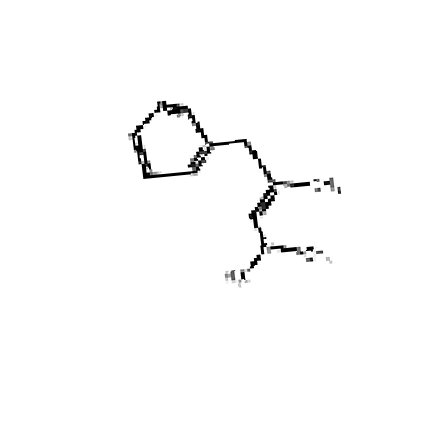 CC(=CN(C)C)Cc1cccnc1